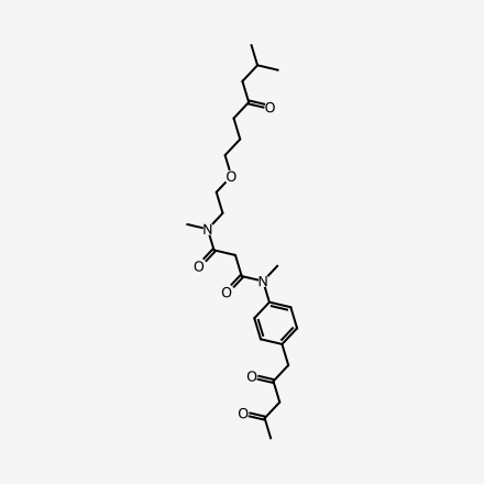 CC(=O)CC(=O)Cc1ccc(N(C)C(=O)CC(=O)N(C)CCOCCCC(=O)CC(C)C)cc1